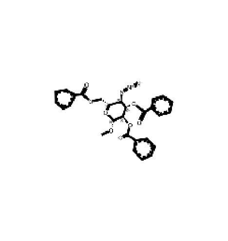 CO[C@@H]1O[C@H](COC(=O)c2ccccc2)[C@@H](N=[N+]=[N-])[C@H](OC(=O)c2ccccc2)[C@H]1OC(=O)c1ccccc1